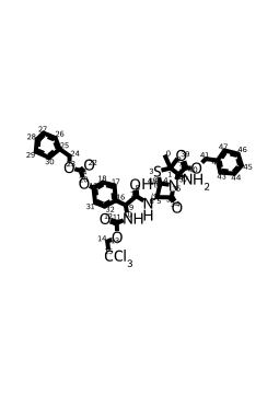 CC1(C)S[C@@H]2[C@@H](NC(=O)C(NC(=O)OCC(Cl)(Cl)Cl)c3ccc(OC(=O)OCc4ccccc4)cc3)C(=O)N2[C@@]1(N)C(=O)OCc1ccccc1